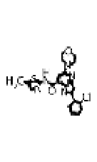 Cc1cnc(NC(=O)c2cc(N3CCOCC3)nn3cc(-c4ccccc4Cl)nc23)s1